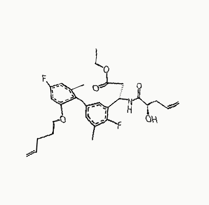 C=CCCCOc1cc(F)cc(C)c1-c1cc(C)c(F)c([C@H](CC(=O)OCC)NC(=O)[C@H](O)CC=C)c1